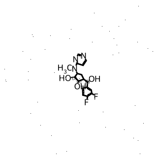 CN(c1ccncn1)C1CC([C@@H](O)c2ccc(F)c(F)c2)[C@@H](O)[C@H]1O